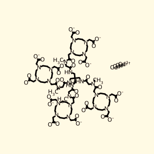 CN(CC(=O)NCC(CNC(=O)CN(C)C(=O)CN1CCN(CC(=O)[O-])CCN(CC(=O)[O-])CCN(CC(=O)[O-])CC1)(CNC(=O)CN(C)C(=O)CN1CCN(CC(=O)[O-])CCN(CC(=O)[O-])CCN(CC(=O)[O-])CC1)CNC(=O)CN(C)C(=O)CN1CCN(CC(=O)[O-])CCN(CC(=O)[O-])CCN(CC(=O)[O-])CC1)C(=O)CN1CCN(CC(=O)[O-])CCN(CC(=O)[O-])CCN(CC(=O)[O-])CC1.[Gd+3].[Gd+3].[Gd+3].[Gd+3]